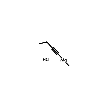 CCC#[C][Mg][CH3].Cl